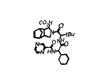 CC(C)(C)C(NC(=O)C(NC(=O)c1cnccn1)C1CCCCC1)C(=O)N1CC2C3C=CC(C3)C2C1C(=O)O